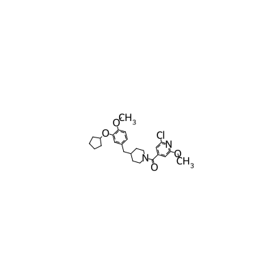 COc1cc(C(=O)N2CCC(Cc3ccc(OC)c(OC4CCCC4)c3)CC2)cc(Cl)n1